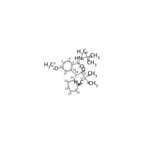 COc1ccc(C(=O)NC(C)(C)C)c(C(C(=O)C(C)(C)C)c2ccccc2)c1